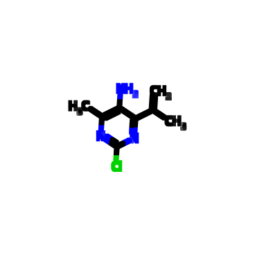 C=C(C)c1nc(Cl)nc(C)c1N